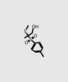 CSC(C)(CO)S(=O)(=O)c1ccc(C)cc1